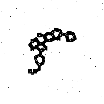 NCC1CCC(c2nc(-c3cc4nc(-c5ccccc5)ccc4cc3Cl)c3cncnn23)CC1